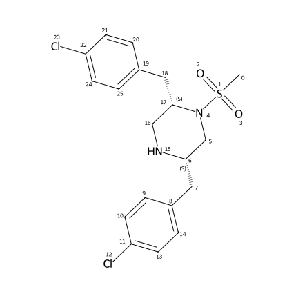 CS(=O)(=O)N1C[C@H](Cc2ccc(Cl)cc2)NC[C@@H]1Cc1ccc(Cl)cc1